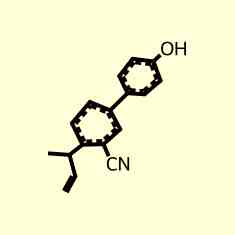 C=CC(C)c1ccc(-c2ccc(O)cc2)cc1C#N